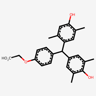 Cc1cc(C(c2ccc(OCC(=O)O)cc2)c2cc(C)c(O)c(C)c2)c(C)cc1O